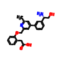 Cc1cc(-c2cccc([C@H](N)CO)c2)cc(COc2ccccc2CC(=O)O)n1